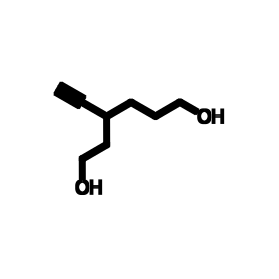 C#CC(CCO)CCCO